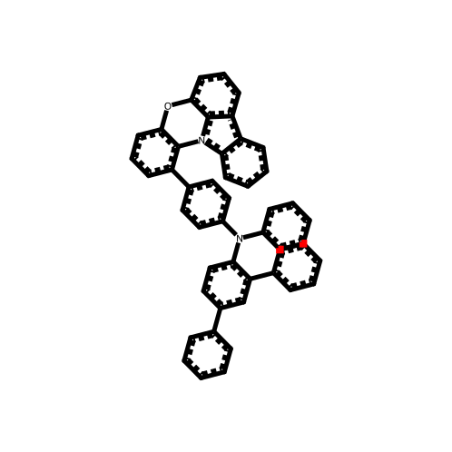 c1ccc(-c2ccc(N(c3ccccc3)c3ccc(-c4cccc5c4-n4c6ccccc6c6cccc(c64)O5)cc3)c(-c3ccccc3)c2)cc1